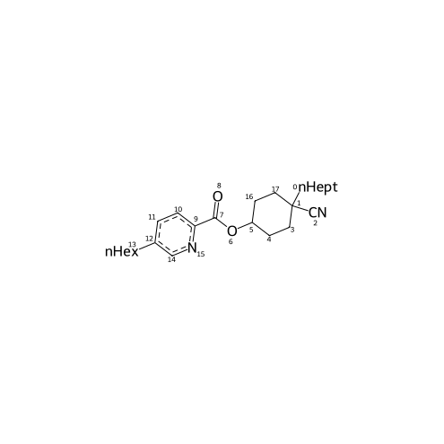 CCCCCCCC1(C#N)CCC(OC(=O)c2ccc(CCCCCC)cn2)CC1